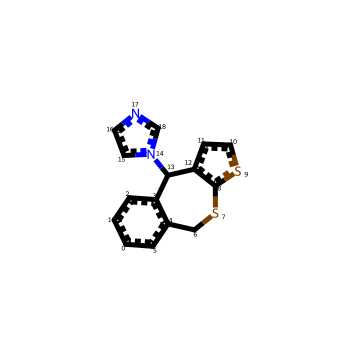 c1ccc2c(c1)CSc1sccc1C2n1ccnc1